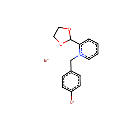 Brc1ccc(C[n+]2ccccc2C2OCCO2)cc1.[Br-]